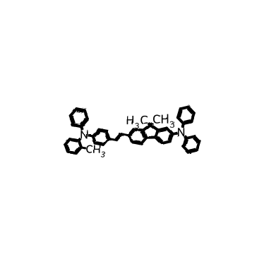 Cc1ccccc1N(c1ccccc1)c1ccc(/C=C/c2ccc3c(c2)C(C)(C)c2cc(N(c4ccccc4)c4ccccc4)ccc2-3)cc1